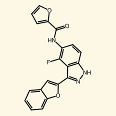 O=C(Nc1ccc2[nH]nc(-c3cc4ccccc4o3)c2c1F)c1ccco1